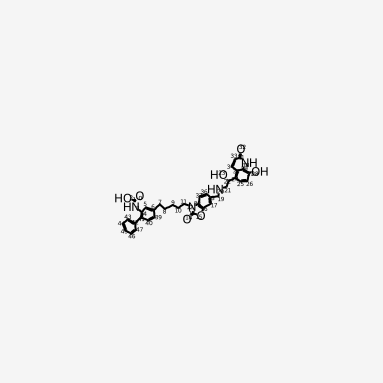 O=C(O)Nc1cc(CCCCCn2c(=O)oc3cc(CNC[C@H](O)c4ccc(O)c5[nH]c(=O)ccc45)ccc32)ccc1-c1ccccc1